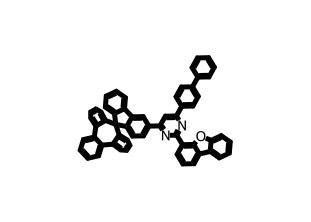 c1ccc(-c2ccc(-c3cc(-c4ccc5c(c4)-c4ccccc4C54c5ccccc5-c5ccccc5-c5ccccc54)nc(-c4cccc5c4oc4ccccc45)n3)cc2)cc1